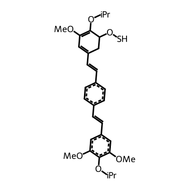 COC1=C(OC(C)C)C(OS)CC(/C=C/c2ccc(/C=C/c3cc(OC)c(OC(C)C)c(OC)c3)cc2)=C1